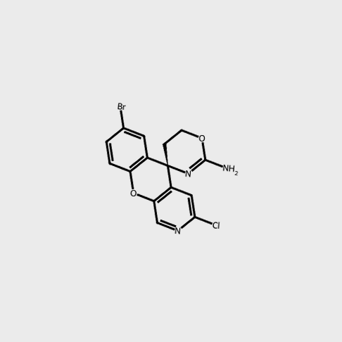 NC1=N[C@@]2(CCO1)c1cc(Br)ccc1Oc1cnc(Cl)cc12